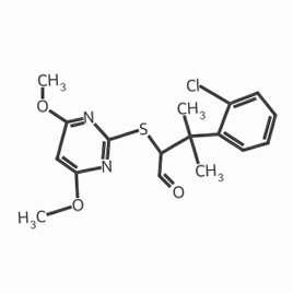 COc1cc(OC)nc(SC(C=O)C(C)(C)c2ccccc2Cl)n1